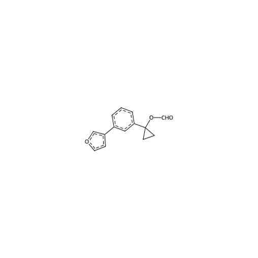 O=COC1(c2cccc(-c3ccoc3)c2)CC1